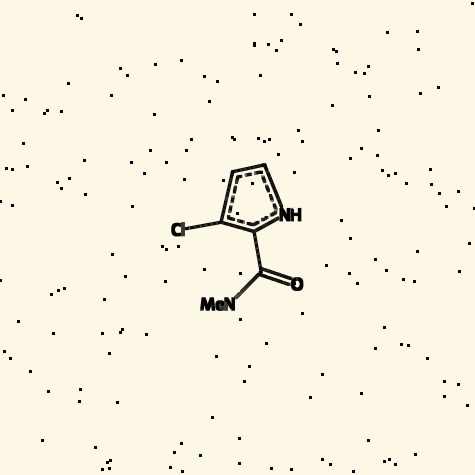 CNC(=O)c1[nH]ccc1Cl